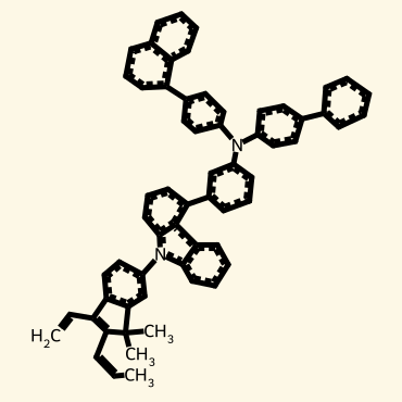 C=CC1=C(/C=C\C)C(C)(C)c2cc(-n3c4ccccc4c4c(-c5cccc(N(c6ccc(-c7ccccc7)cc6)c6ccc(-c7cccc8ccccc78)cc6)c5)cccc43)ccc21